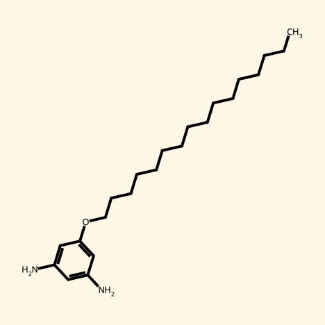 CCCCCCCCCCCCCCCCOc1cc(N)cc(N)c1